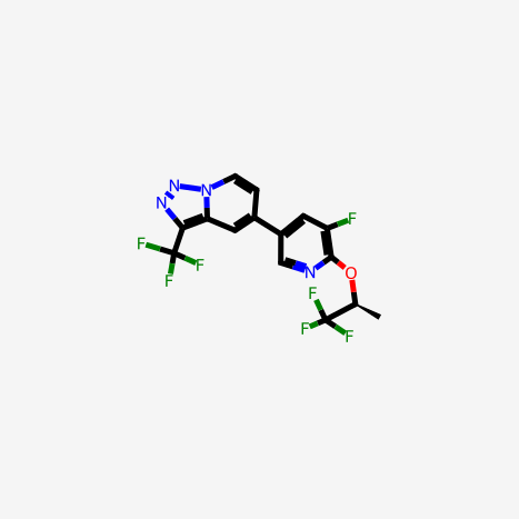 C[C@H](Oc1ncc(-c2ccn3nnc(C(F)(F)F)c3c2)cc1F)C(F)(F)F